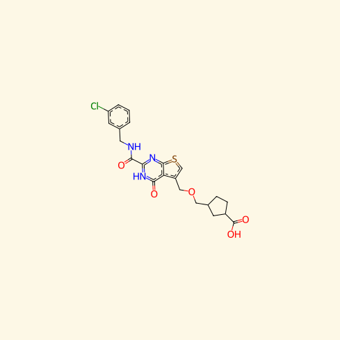 O=C(NCc1cccc(Cl)c1)c1nc2scc(COCC3CCC(C(=O)O)C3)c2c(=O)[nH]1